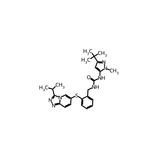 CC(C)c1nnc2ccc(Sc3ccccc3CNC(=O)Nc3cc(C(C)(C)C)nn3C)cn12